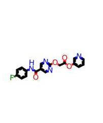 O=C(COc1ncc(C(=O)Nc2ccc(F)cc2)cn1)Oc1cccnc1